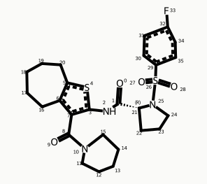 O=C(Nc1sc2c(c1C(=O)N1CCCCC1)CCCCC2)[C@H]1CCCN1S(=O)(=O)c1ccc(F)cc1